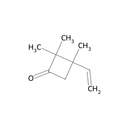 C=CC1(C)CC(=O)C1(C)C